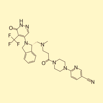 CN(CCC(=O)N1CCN(c2ccc(C#N)cn2)CC1)C[C@@H]1c2ccccc2CN1c1cn[nH]c(=O)c1C(F)(F)F